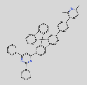 Cc1ccc(-c2ccc(-c3ccc4c(c3)C3(c5ccccc5-c5ccccc53)c3cc(-c5cc(-c6ccccc6)nc(-c6ccccc6)n5)ccc3-4)cc2)c(C)n1